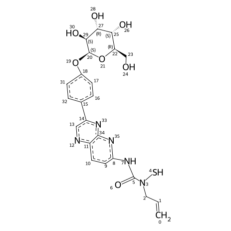 C=CCN(S)C(=O)Nc1ccc2ncc(-c3ccc(O[C@@H]4O[C@H](CO)[C@@H](O)[C@@H](O)[C@@H]4O)cc3)nc2n1